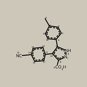 Cc1ccc(-c2[nH]nc(C(=O)O)c2-c2ccc(C#N)cc2)cc1